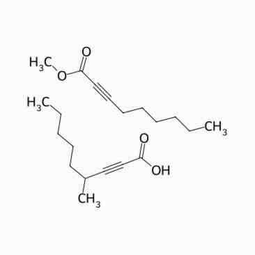 CCCCCC(C)C#CC(=O)O.CCCCCCC#CC(=O)OC